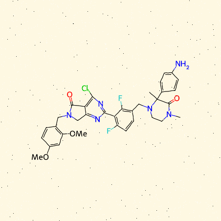 COc1ccc(CN2Cc3nc(-c4c(F)ccc(CN5CCN(C)C(=O)C5(C)c5ccc(N)cc5)c4F)nc(Cl)c3C2=O)c(OC)c1